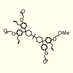 C=CCc1cc(C2(c3ccc(OCC4CO4)cc3)CCC(C(C)(C)C3CCC(c4ccc(OCC5CO5)c(CC=C)c4)(c4ccc(OCC5CO5)c(CC=C)c4)CC3)CC2)ccc1OCCOC